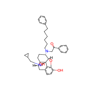 O=C(CN(CCCCCCc1ccccc1)[C@H]1CC[C@@]2(O)[C@H]3Cc4ccc(O)c5c4[C@@]2(CCN3CC2CC2)[C@H]1O5)c1ccccc1